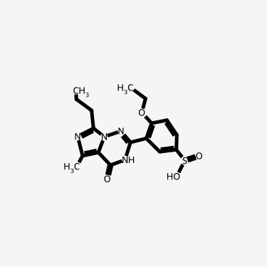 CCCc1nc(C)c2c(=O)[nH]c(-c3cc(S(=O)O)ccc3OCC)nn12